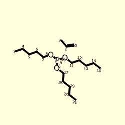 C=CC.CCCCCOP(OCCCCC)OCCCCC